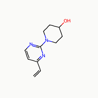 C=Cc1ccnc(N2CCC(O)CC2)n1